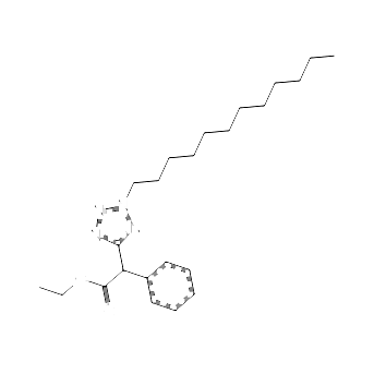 CCCCCCCCCCCCn1nnc(C(C(=O)OCC)c2ccccc2)n1